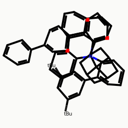 CC(C)(C)c1cc(-c2ccccc2N(c2ccccc2-c2ccc(-c3ccccc3)cc2)c2ccccc2-c2cccc3cccc(C45CC6CC7CC(C4)C765)c23)cc(C(C)(C)C)c1